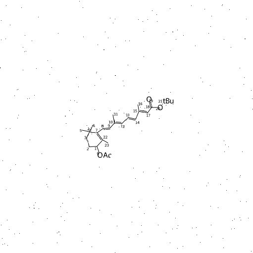 CC(=O)OC1CCC(C)(C)C(/C=C/C(C)=C/C=C/C(C)=C/C(=O)OC(C)(C)C)=C1C